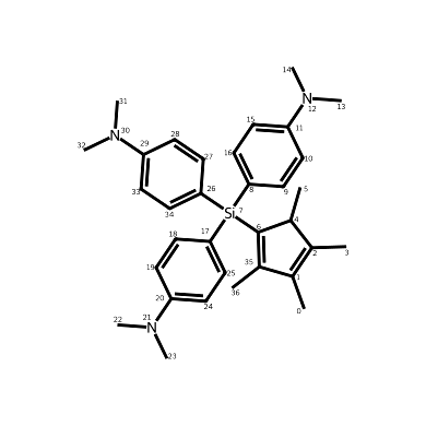 CC1=C(C)C(C)C([Si](c2ccc(N(C)C)cc2)(c2ccc(N(C)C)cc2)c2ccc(N(C)C)cc2)=C1C